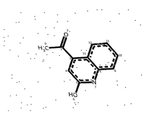 CC(=O)c1cc(O)nc2ccccc12